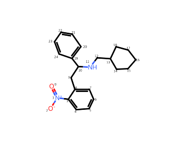 O=[N+]([O-])c1ccccc1CC(NCC1CCCCC1)c1ccccc1